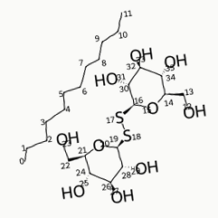 CCCCCCCCCCCC.OC[C@H]1O[C@@H](SS[C@@H]2O[C@H](CO)[C@@H](O)[C@H](O)[C@H]2O)[C@H](O)[C@@H](O)[C@@H]1O